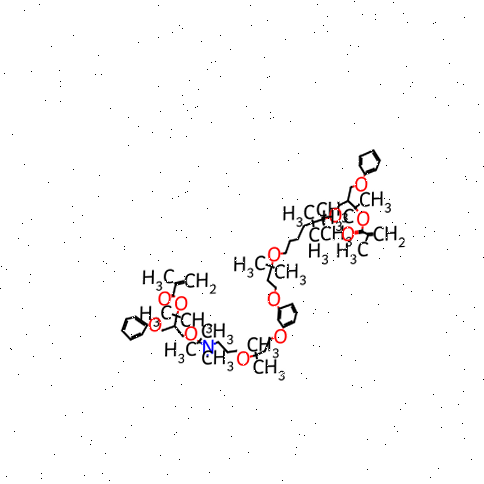 C=C(C)C(=O)OC(C)(C)C(COc1ccccc1)COC(C)(C)N(C)CCCOC(C)(C)CCOc1cccc(OCCC(C)(C)OCCCCC(C)(C)C(C)(C)OCC(COc2ccccc2)C(C)(C)OC(=O)C(=C)C)c1